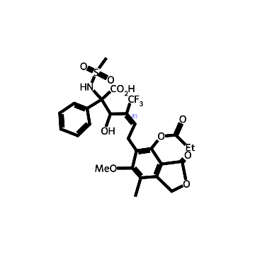 CCC(=O)Oc1c(C/C=C(\C(O)C(NS(C)(=O)=O)(C(=O)O)c2ccccc2)C(F)(F)F)c(OC)c(C)c2c1C(=O)OC2